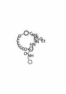 CCOc1nc2nc(n1)Nc1ccc(C(=O)NCC3CCCC3)c(c1)OCCCCCCOc1ccc(cc1)CN2